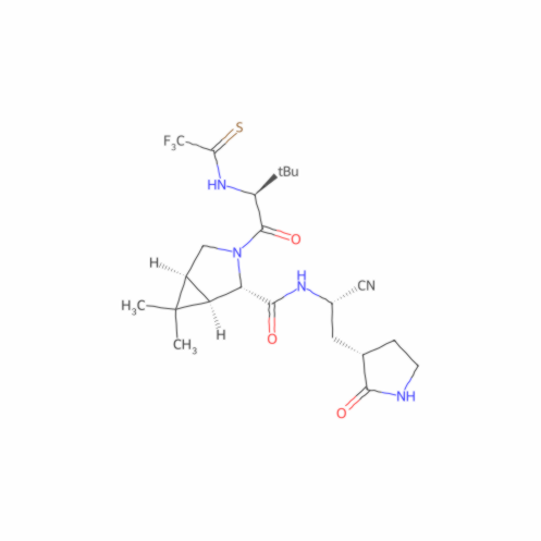 CC(C)(C)[C@H](NC(=S)C(F)(F)F)C(=O)N1C[C@H]2[C@@H]([C@H]1C(=O)N[C@H](C#N)C[C@@H]1CCNC1=O)C2(C)C